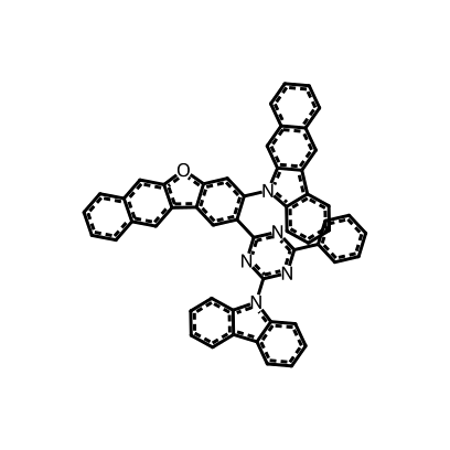 c1ccc(-c2nc(-c3cc4c(cc3-n3c5ccccc5c5cc6ccccc6cc53)oc3cc5ccccc5cc34)nc(-n3c4ccccc4c4ccccc43)n2)cc1